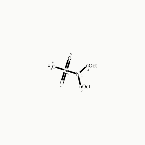 CCCCCCCCN(CCCCCCCC)S(=O)(=O)C(F)(F)F